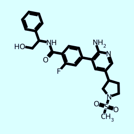 CS(=O)(=O)N1CCC(c2cnc(N)c(-c3ccc(C(=O)NC(CO)c4ccccc4)c(F)c3)c2)C1